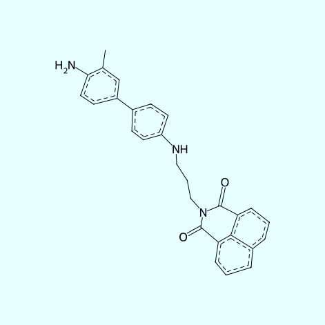 Cc1cc(-c2ccc(NCCCN3C(=O)c4cccc5cccc(c45)C3=O)cc2)ccc1N